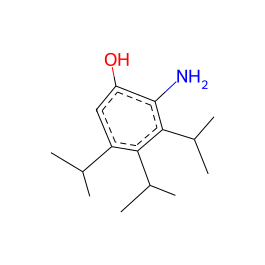 CC(C)c1cc(O)c(N)c(C(C)C)c1C(C)C